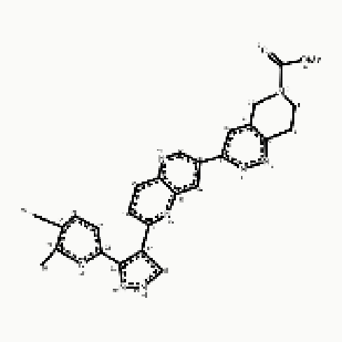 COC(=O)N1CCc2nnc(-c3cnc4ccc(-c5c[nH]nc5-c5ccc(F)c(C)n5)nc4c3)cc2C1